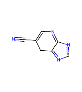 N#CC1=CN=C2N=CN=C2C1